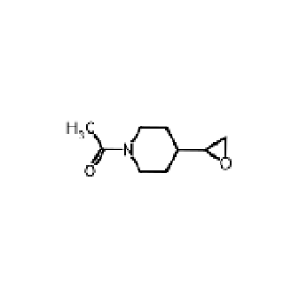 CC(=O)N1CCC(C2CO2)CC1